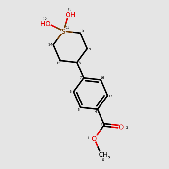 COC(=O)c1ccc(C2CCS(O)(O)CC2)cc1